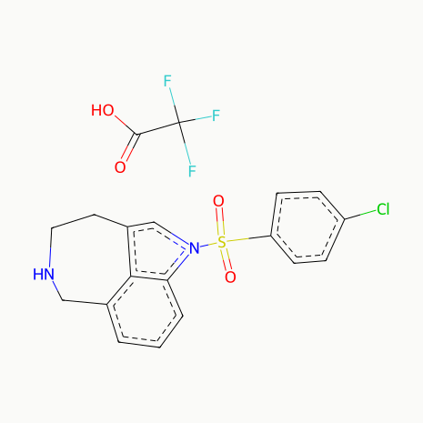 O=C(O)C(F)(F)F.O=S(=O)(c1ccc(Cl)cc1)n1cc2c3c(cccc31)CNCC2